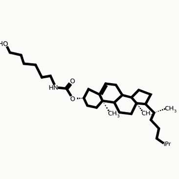 CC(C)CCC[C@@H](C)C1CCC2C3CC=C4C[C@@H](OC(=O)NCCCCCCO)CC[C@]4(C)C3CC[C@@]21C